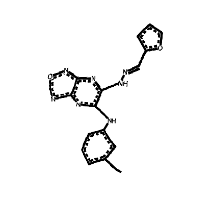 Cc1cccc(Nc2nc3nonc3nc2N/N=C/c2ccco2)c1